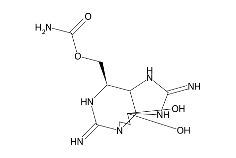 N=C1NC2[C@H](COC(N)=O)NC(=N)N3CCC(O)(O)C23N1